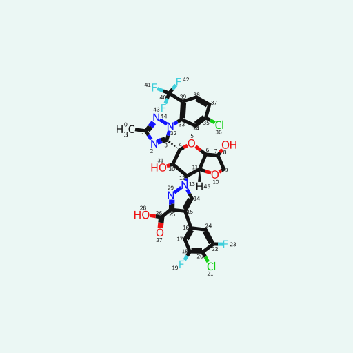 Cc1nc([C@@H]2OC3C(O)CO[C@@H]3C(n3cc(-c4cc(F)c(Cl)c(F)c4)c(C(=O)O)n3)C2O)n(-c2cc(Cl)ccc2C(F)(F)F)n1